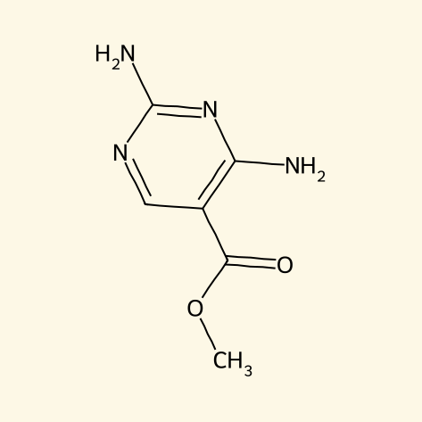 COC(=O)c1cnc(N)nc1N